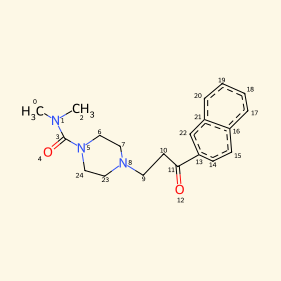 CN(C)C(=O)N1CCN(CCC(=O)c2ccc3ccccc3c2)CC1